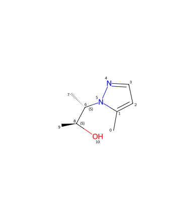 Cc1ccnn1[C@@H](C)[C@H](C)O